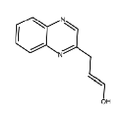 O/C=C/Cc1cnc2ccccc2n1